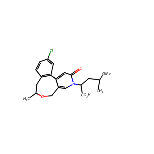 COC(C)CC(C(=O)O)n1cc2c(cc1=O)-c1cc(Cl)ccc1CC(C)OC2